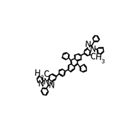 Cc1cc(-c2ccc3c(-c4ccccc4)c4cc(-c5ccc(-c6cc(C)c7c(c6)nc(-c6ccccc6)n7-c6ccccn6)cc5)ccc4c(-c4ccccc4)c3c2)cc2nc(-c3ccccc3)n(-c3ccccc3)c12